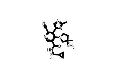 Cc1ncc(-c2c(C#N)ncc(C(=O)N[C@@H](C)C3CC3)c2N2CC[C@](C)(N)C2)s1